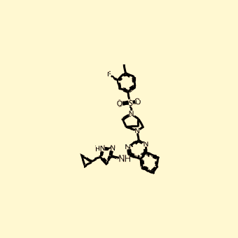 Cc1ccc(S(=O)(=O)N2CC3CC2CN3c2nc(Nc3cc(C4CC4)[nH]n3)c3ccccc3n2)cc1F